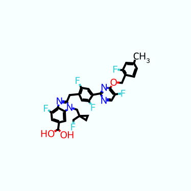 Cc1ccc(COc2nc(-c3cc(F)c(Cc4nc5c(F)cc(C(O)O)cc5n4CC4(CF)CC4)cc3F)ncc2F)c(F)c1